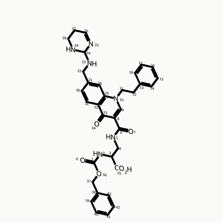 O=C(NC(CNC(=O)c1cn(CCc2ccccc2)c2cc(CNC3N=CCCN3)ccc2c1=O)C(=O)O)OCc1ccccc1